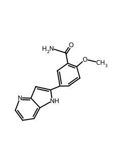 COc1ccc(-c2cc3ncccc3[nH]2)cc1C(N)=O